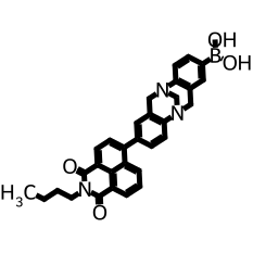 CCCCN1C(=O)c2cccc3c(-c4ccc5c(c4)CN4CN5Cc5cc(B(O)O)ccc54)ccc(c23)C1=O